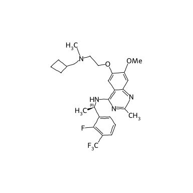 COc1cc2nc(C)nc(N[C@H](C)c3cccc(C(F)(F)F)c3F)c2cc1OCCN(C)CC1CCC1